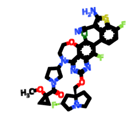 COC1(C(=O)N2CCC(N3CCOc4c(Cl)c(-c5ccc(F)c6sc(N)c(C#N)c56)c(F)c5nc(OC[C@@]67CCCN6C[C@H](F)C7)nc3c45)C2)CC1